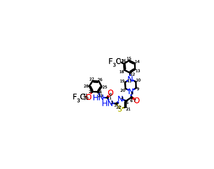 O=C(Nc1nc(C(=O)N2CCN(c3cccc(C(F)(F)F)c3)CC2)cs1)Nc1ccccc1OC(F)(F)F